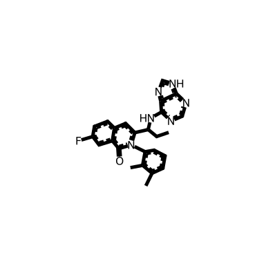 CCC(Nc1ncnc2[nH]cnc12)c1cc2ccc(F)cc2c(=O)n1-c1cccc(C)c1C